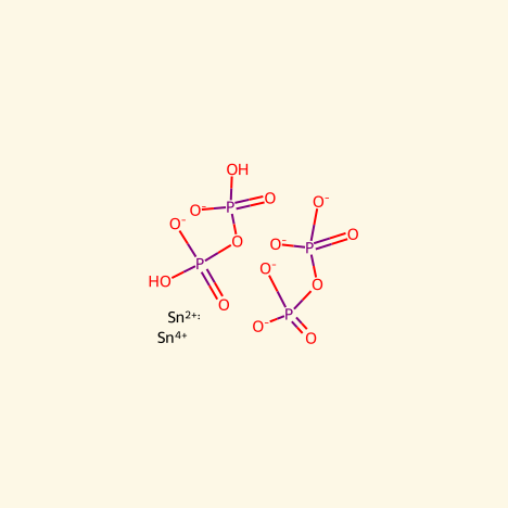 O=P([O-])(O)OP(=O)([O-])O.O=P([O-])([O-])OP(=O)([O-])[O-].[Sn+2].[Sn+4]